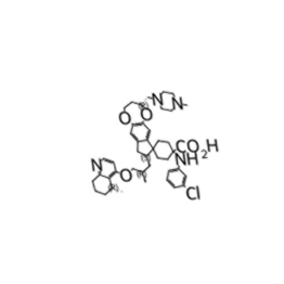 C[C@@H](COc1ccnc2c1[C@H](C)CCC2)C[C@H]1Cc2cc3c(cc2C12CCC(Nc1cccc(Cl)c1)(C(=O)O)CC2)O[C@@H](CN1CCN(C)CC1)CCO3